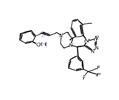 Cc1cccc(C)c1-n1nnnc1C(c1cccc(C(F)(F)F)c1)N1CCN(C/C=C/c2ccccc2O)CC1